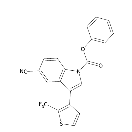 N#Cc1ccc2c(c1)c(-c1ccsc1C(F)(F)F)cn2C(=O)Oc1ccccc1